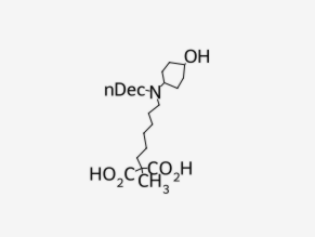 CCCCCCCCCCN(CCCCCCC(C)(C(=O)O)C(=O)O)C1CCC(O)CC1